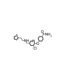 NC(=O)c1ccc(Oc2ncc(CNCCc3cccs3)cc2Cl)cc1